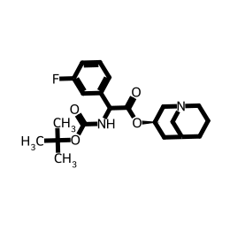 CC(C)(C)OC(=O)NC(C(=O)O[C@@H]1CC2CCCN(C2)C1)c1cccc(F)c1